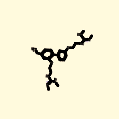 C/N=C(\NC)NCCOc1cccc(-c2ccc(CN)cc2OCCN/C(=N/C)NC)c1